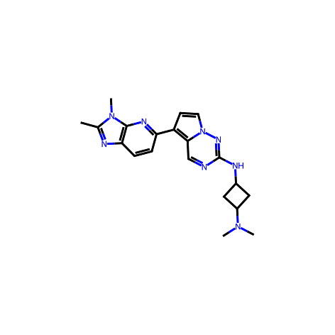 Cc1nc2ccc(-c3ccn4nc(NC5CC(N(C)C)C5)ncc34)nc2n1C